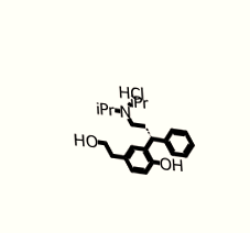 CC(C)N(CC[C@H](c1ccccc1)c1cc(CCO)ccc1O)C(C)C.Cl